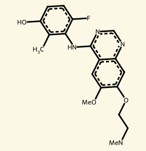 CNCCOc1cc2ncnc(Nc3c(F)ccc(O)c3C)c2cc1OC